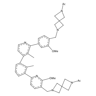 COc1cc(-c2nccc(-c3cccc(-c4ccc(CN5CC6(C5)CN(C(C)=O)C6)c(OC)n4)c3C)c2C)ccc1CN1CC2(C1)CN(C(C)=O)C2